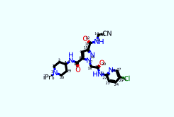 CC(C)N1CCC(NC(=O)c2cc(C(=O)NCC#N)nn2CC(=O)Nc2ccc(Cl)cn2)CC1